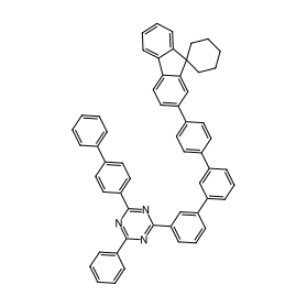 c1ccc(-c2ccc(-c3nc(-c4ccccc4)nc(-c4cccc(-c5cccc(-c6ccc(-c7ccc8c(c7)C7(CCCCC7)c7ccccc7-8)cc6)c5)c4)n3)cc2)cc1